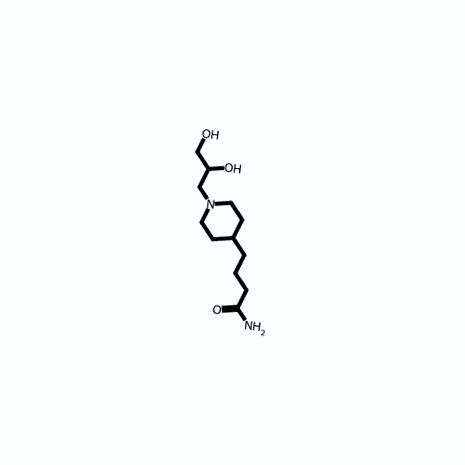 NC(=O)CCCC1CCN(CC(O)CO)CC1